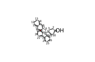 Oc1ccc(C2(Cc3ccc4ccccc4c3)c3ccccc3-c3ccccc32)cc1